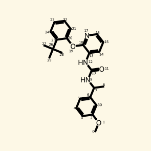 COc1cccc(C(C)NC(=O)Nc2cccnc2Oc2ccccc2C(C)(C)C)c1